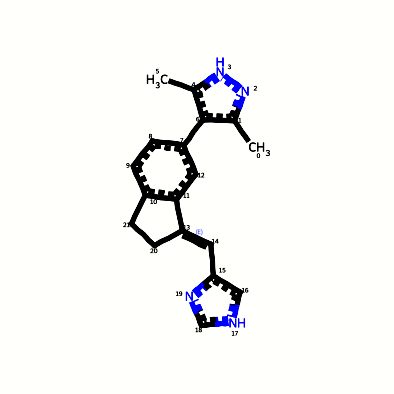 Cc1n[nH]c(C)c1-c1ccc2c(c1)/C(=C/c1c[nH]cn1)CC2